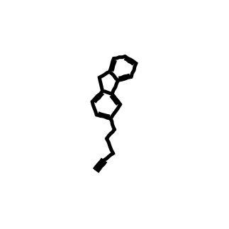 C#CCCCc1ccc2c(c1)-c1ccccc1C2